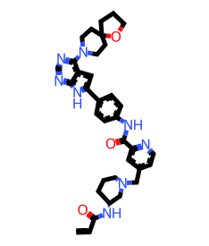 C=CC(=O)N[C@@H]1CCCN(Cc2ccnc(C(=O)Nc3ccc(-c4cc5c(N6CCC7(CCCO7)CC6)ncnc5[nH]4)cc3)c2)C1